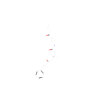 CC(C)(CC(=O)OCc1ccccc1)[C@@H](O)C(=O)NCCC(=O)NCCS